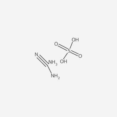 N.N#CN.O=S(=O)(O)O